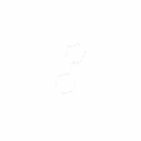 [c]1nnccc1N1CCNCC1